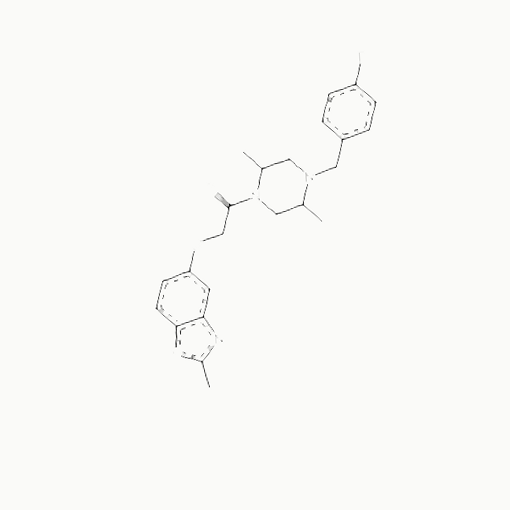 Cc1nc2cc(OCC(=O)N3CC(C)N(Cc4ccc(F)cc4)CC3C)ccc2s1